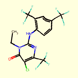 CCn1c(Nc2ccc(C(F)(F)F)cc2C(F)(F)F)nc(C(F)(F)F)c(Cl)c1=O